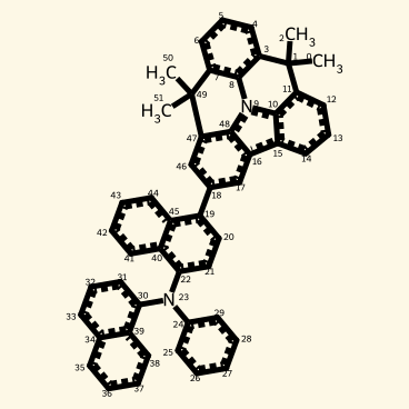 CC1(C)c2cccc3c2-n2c4c1cccc4c1cc(-c4ccc(N(c5ccccc5)c5cccc6ccccc56)c5ccccc45)cc(c12)C3(C)C